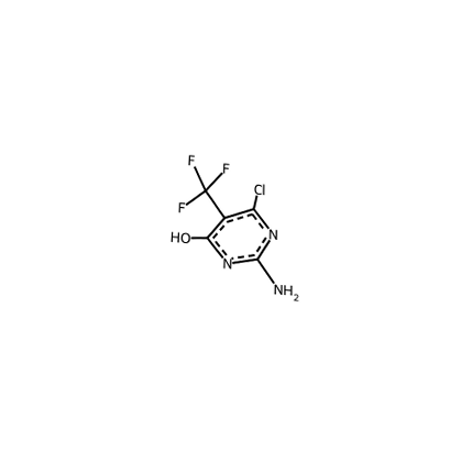 Nc1nc(O)c(C(F)(F)F)c(Cl)n1